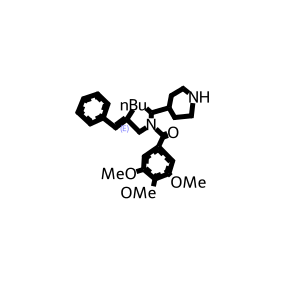 CCCCC(C1CCNCC1)N(C/C(C)=C/c1ccccc1)C(=O)c1cc(OC)c(OC)c(OC)c1